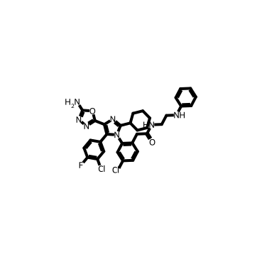 Nc1nnc(-c2nc(C3CCCCC3)n(-c3cc(Cl)ccc3CC(=O)NCCNc3ccccc3)c2-c2ccc(F)c(Cl)c2)o1